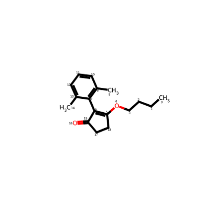 CCCCOC1=C(c2c(C)cccc2C)C(=O)CC1